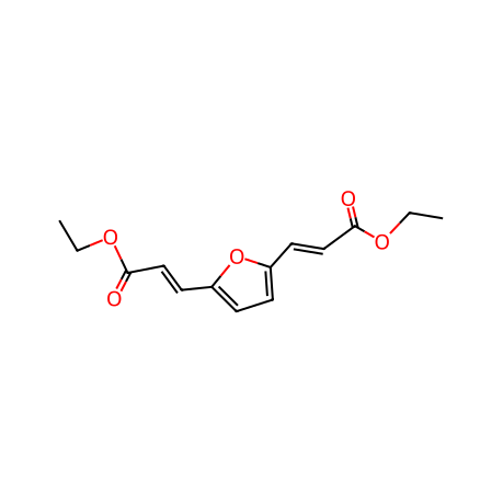 CCOC(=O)C=Cc1ccc(C=CC(=O)OCC)o1